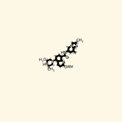 COc1ccc2c(N3C[C@@H](C)N[C@@H](C)C3)ccc(C(=O)Nc3cc(F)c4nc(C)cn4c3)c2n1